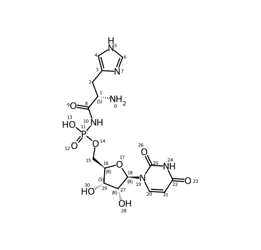 N[C@@H](Cc1c[nH]cn1)C(=O)NP(=O)(O)OC[C@H]1O[C@@H](n2ccc(=O)[nH]c2=O)[C@H](O)[C@@H]1O